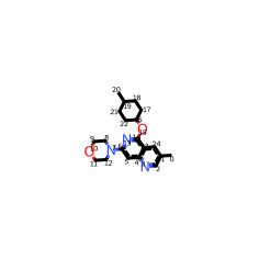 Cc1cnc2cc(N3CCOCC3)nc(OC3CCC(C)CC3)c2c1